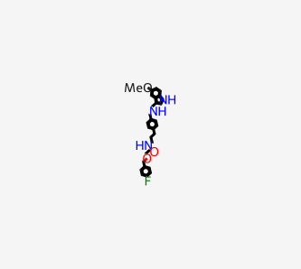 COc1ccc2[nH]cc(CNCc3ccc(CCCNC(=O)COCc4ccc(F)cc4)cc3)c2c1